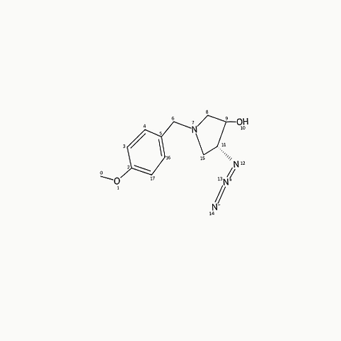 COc1ccc(CN2CC(O)[C@H](N=[N+]=[N-])C2)cc1